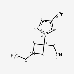 CC(C)c1cnn(C2(CC#N)CN(CC(F)(F)F)C2)c1